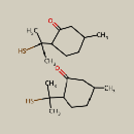 CC1CCC(C(C)(C)S)C(=O)C1.CC1CCC(C(C)(C)S)C(=O)C1